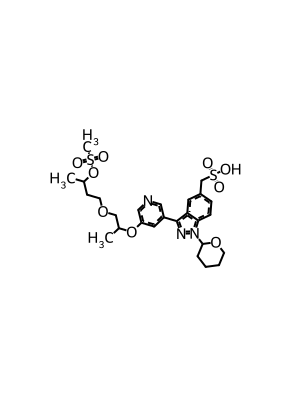 CC(COCCC(C)OS(C)(=O)=O)Oc1cncc(-c2nn(C3CCCCO3)c3ccc(CS(=O)(=O)O)cc23)c1